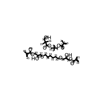 C=C(C)C(=O)OCC(C)(C)COC(=O)C(C)(C)CO.C=C(C)C(=O)OCC(O)COCCCCCCOCC(O)COC(=O)C(=C)C